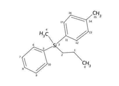 CCC[Si](C)(c1ccccc1)c1ccc(C)cc1